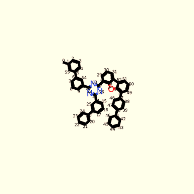 Cc1cccc(-c2cccc(-c3nc(-c4cccc(-c5ccccc5)c4)nc(-c4cccc5c4oc4c(-c6ccc(-c7ccccc7)cc6)cccc45)n3)c2)c1